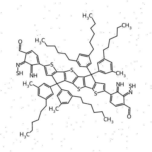 CCCCCCc1cc(C)cc(C2(c3cc(C)cc(CCCCCC)c3)c3cc(C4=CC=C(C=O)/C(=N/S)C4=N)sc3-c3sc4c5c(sc4c32)-c2sc(C3=CC=C(C=O)/C(=N/S)C3=N)cc2C5(c2cc(C)cc(CCCCCC)c2)c2cc(CCCCCC)cc(CCCCCC)c2)c1